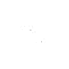 NC[C@]1(c2cccc(Cl)c2)CC[C@H](N(C(=O)c2cncc(-c3ccccc3)c2)C2CC2)CC1